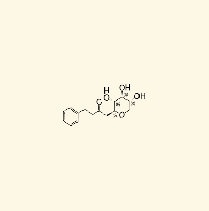 O=C(CCc1ccccc1)C[C@@H]1OC[C@@H](O)[C@H](O)[C@H]1O